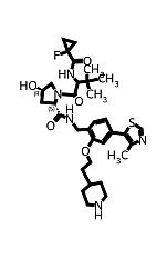 Cc1ncsc1-c1ccc(CNC(=O)[C@@H]2C[C@@H](O)CN2C(=O)C(NC(=O)C2(F)CC2)C(C)(C)C)c(OCCC2CCNCC2)c1